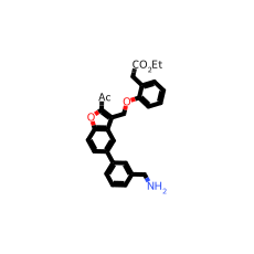 CCOC(=O)Cc1ccccc1OCc1c(C(C)=O)oc2ccc(-c3cccc(CN)c3)cc12